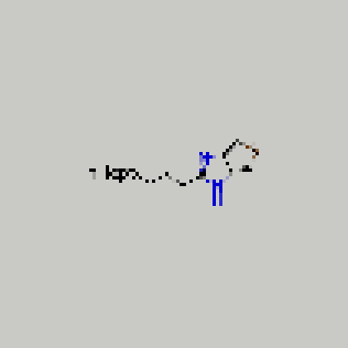 CCCCCCCCCCc1nc2cscc2[nH]1